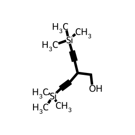 C[Si](C)(C)C#CC(C#C[Si](C)(C)C)CO